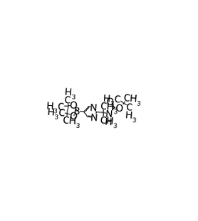 CC(C)(C)OC(=O)NC(C)(C)c1ncc(B2OC(C)(C)C(C)(C)O2)cn1